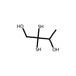 CC(O)C(S)(S)CO